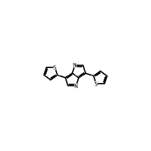 C1=NC2=C(c3cccs3)C=NC2=C1c1cccs1